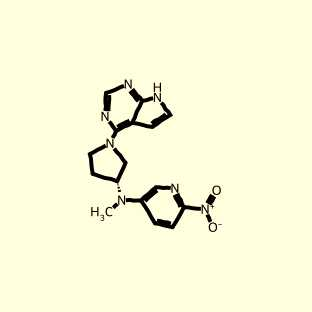 CN(c1ccc([N+](=O)[O-])nc1)[C@@H]1CCN(c2ncnc3[nH]ccc23)C1